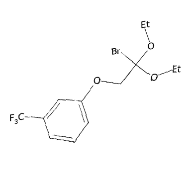 CCOC(Br)(COc1cccc(C(F)(F)F)c1)OCC